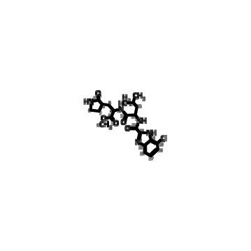 COC(=O)C(CC1CCNC1=O)NC(=O)C(CC(C)C)NC(=O)c1nc2cccc(Cl)c2[nH]1